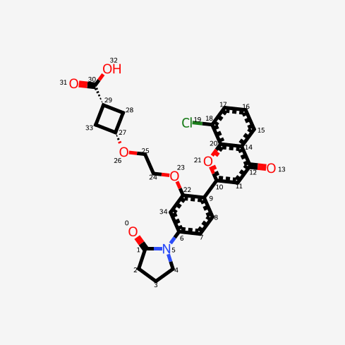 O=C1CCCN1c1ccc(-c2cc(=O)c3cccc(Cl)c3o2)c(OCCO[C@H]2C[C@@H](C(=O)O)C2)c1